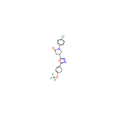 O=C1CC(c2nnc(C3=CC=C(OC(F)(F)F)CC3)o2)CN1c1ccc(Cl)cc1